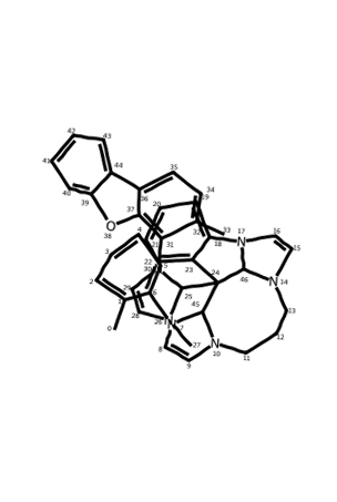 Cc1ccccc1N1C=CN2CCCN3C=CN4c5ccccc5C(C5N(C)C=CN5c5c(C)ccc6c5oc5ccccc56)(C21)C34